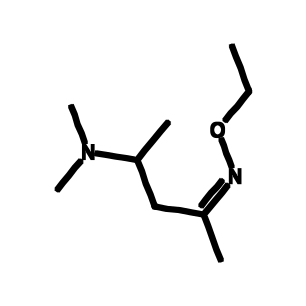 CCO/N=C(/C)CC(C)N(C)C